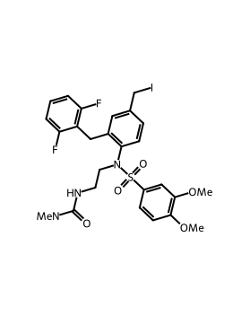 CNC(=O)NCCN(c1ccc(CI)cc1Cc1c(F)cccc1F)S(=O)(=O)c1ccc(OC)c(OC)c1